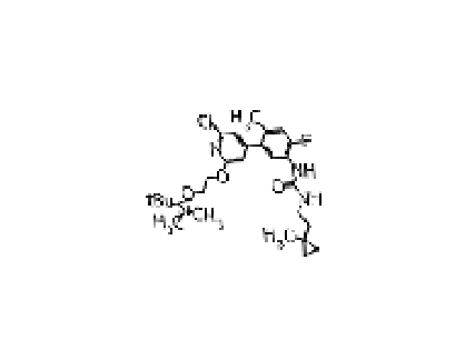 Cc1cc(F)c(NC(=O)NCCC2(C)CC2)cc1-c1cc(Cl)nc(OCCO[Si](C)(C)C(C)(C)C)c1